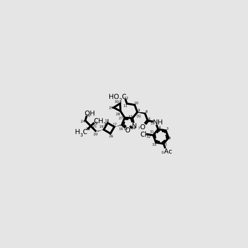 CC(=O)c1ccc(NC(=O)C[C@H](CCC(=O)O)c2noc([C@H]3C[C@@H](CC(C)(C)CO)C3)c2C2CC2)c(Cl)c1